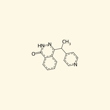 CC(c1ccncc1)c1n[nH]c(=O)c2ccccc12